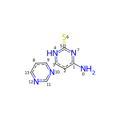 Nc1cc[nH]c(=S)n1.c1cncnc1